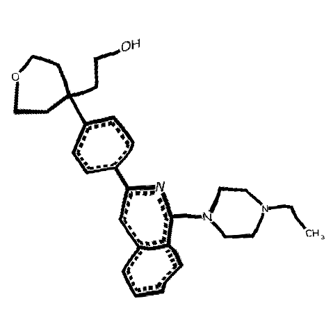 CCN1CCN(c2nc(-c3ccc(C4(CCO)CCOCC4)cc3)cc3ccccc23)CC1